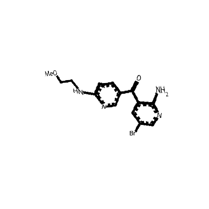 COCCNc1ccc(C(=O)c2cc(Br)cnc2N)cn1